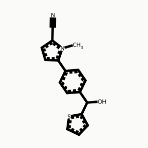 Cn1c(C#N)ccc1-c1ccc(C(O)c2cccs2)cc1